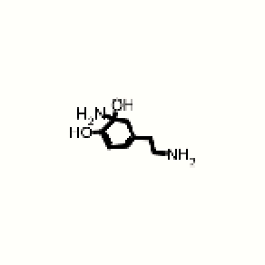 NCCC1=CC=C(O)C(N)(O)C1